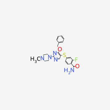 CN1CCN(c2ncc(Sc3ccc(C(N)=O)c(F)c3)c(OCc3ccccc3)n2)CC1